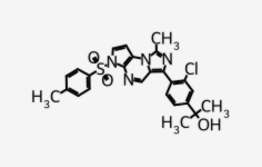 Cc1ccc(S(=O)(=O)n2ccc3c2ncc2c(-c4ccc(C(C)(C)O)cc4Cl)nc(C)n23)cc1